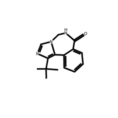 CC(C)(C)c1ncn2c1-c1ccccc1C(=O)NC2